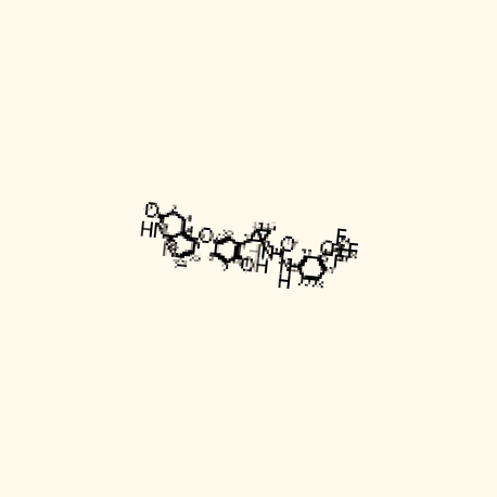 O=C1CCc2c(Oc3ccc(O)c(C4C5CC54NC(=O)Nc4cccc(OC(F)(F)F)c4)c3)ccnc2N1